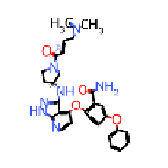 CN(C)C/C=C/C(=O)N1CC[C@@H](Nc2n[nH]c3nccc(Oc4ccc(Oc5ccccc5)cc4C(N)=O)c23)C1